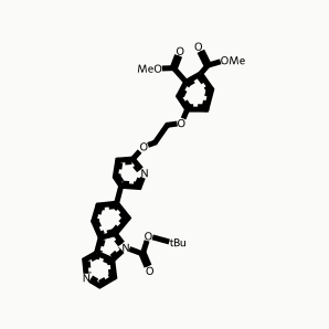 COC(=O)c1ccc(OCCOc2ccc(-c3ccc4c5cnccc5n(C(=O)OC(C)(C)C)c4c3)cn2)cc1C(=O)OC